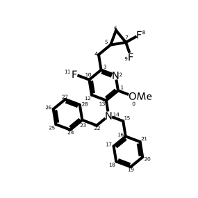 COc1nc(CC2CC2(F)F)c(F)cc1N(Cc1ccccc1)Cc1ccccc1